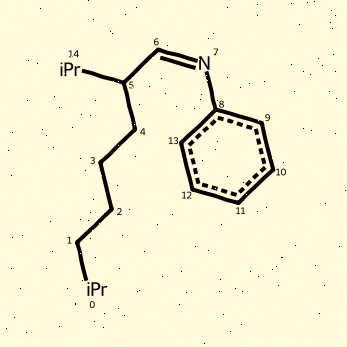 CC(C)CCCCC(/C=N\c1ccccc1)C(C)C